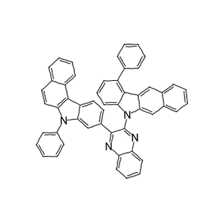 c1ccc(-c2cccc3c2c2cc4ccccc4cc2n3-c2nc3ccccc3nc2-c2ccc3c4c5ccccc5ccc4n(-c4ccccc4)c3c2)cc1